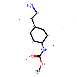 CC(C)(C)OC(=O)N[C@H]1CC[C@@H](CCN)CC1